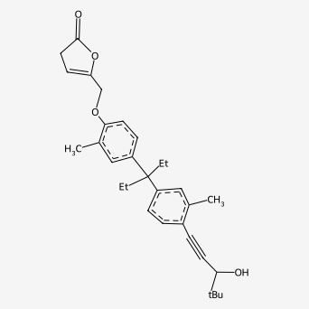 CCC(CC)(c1ccc(C#CC(O)C(C)(C)C)c(C)c1)c1ccc(OCC2=CCC(=O)O2)c(C)c1